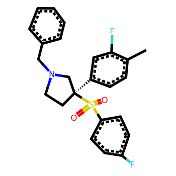 Cc1ccc([C@]2(S(=O)(=O)c3ccc(F)cc3)CCN(Cc3ccccc3)C2)cc1F